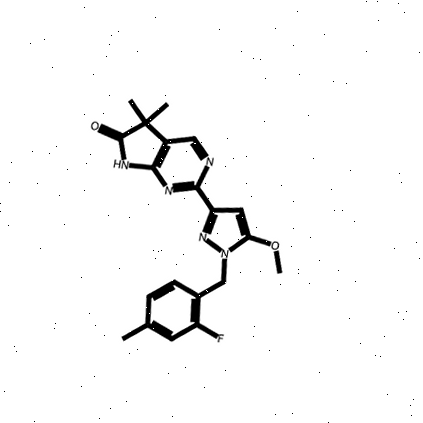 COc1cc(-c2ncc3c(n2)NC(=O)C3(C)C)nn1Cc1ccc(C)cc1F